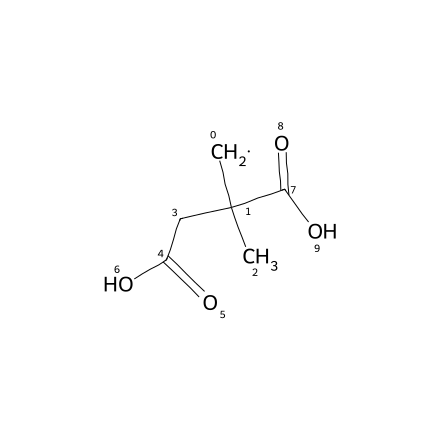 [CH2]C(C)(CC(=O)O)C(=O)O